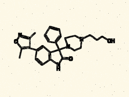 Cc1noc(C)c1-c1ccc2c(c1)C(c1ccccc1)(N1CCN(CCCO)CC1)C(=O)N2